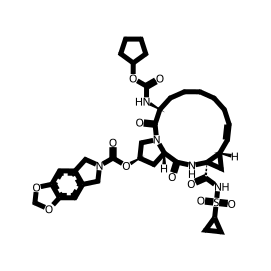 O=C(N[C@H]1CCCCC/C=C\[C@@H]2C[C@@]2(C(=O)NS(=O)(=O)C2CC2)NC(=O)[C@@H]2C[C@@H](OC(=O)N3Cc4cc5c(cc4C3)OCO5)CN2C1=O)OC1CCCC1